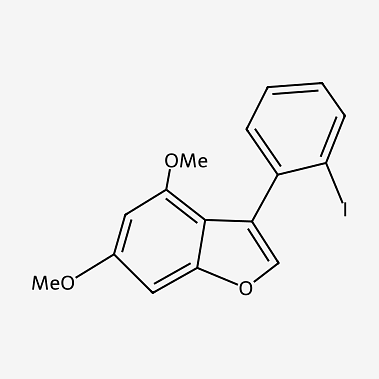 COc1cc(OC)c2c(-c3ccccc3I)coc2c1